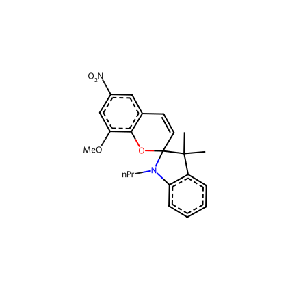 CCCN1c2ccccc2C(C)(C)C12C=Cc1cc([N+](=O)[O-])cc(OC)c1O2